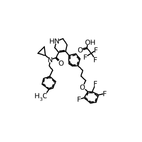 Cc1ccc(CCN(C(=O)C2=C(c3ccc(CCCOc4c(F)ccc(F)c4F)cc3)CCNC2)C2CC2)cc1.O=C(O)C(F)(F)F